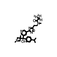 [2H]C([2H])([2H])C(=O)N(C)CCc1nc(-c2cncc([C@@](O)(c3ccc(C(C)C)cc3)C3(C)CN(C)C3)c2)no1